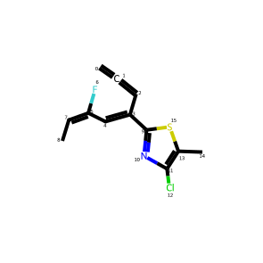 C=C=C/C(=C\C(F)=C/C)c1nc(Cl)c(C)s1